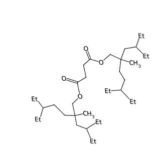 CCC(CC)CCC(C)(COC(=O)CCC(=O)OCC(C)(CCC(CC)CC)CC(CC)CC)CC(CC)CC